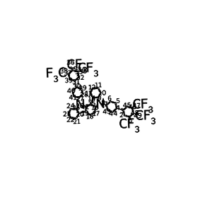 FC(F)(F)c1cc(-c2ccc(-n3c4ccccc4c4c3ccc3c5ccccc5n(-c5ccc(-c6cc(C(F)(F)F)c(C(F)(F)F)c(C(F)(F)F)c6)cc5)c34)cc2)cc(C(F)(F)F)c1C(F)(F)F